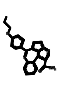 CCCOc1ccc(C2=Nc3ccccc3-c3c(C(N)=O)cnn4ccc2c34)cc1